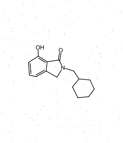 O=C1c2c(O)cccc2CN1CC1CCCCC1